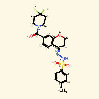 Cc1ccc(S(=O)(=O)N/N=C2\CCOc3cc(C(=O)N4CCC(F)(F)CC4)ccc32)cc1